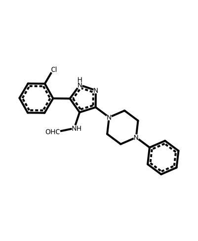 O=CNc1c(N2CCN(c3ccccc3)CC2)n[nH]c1-c1ccccc1Cl